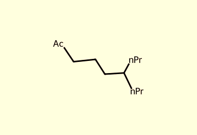 CCCC(CCC)CCCC(C)=O